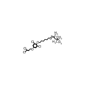 CC(CC(C)(C)C)=NOCCCCCCOc1c(Cl)cc(OCC=C(Cl)Cl)cc1Cl